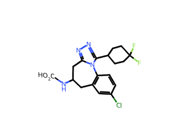 O=C(O)NC1Cc2cc(Cl)ccc2-n2c(nnc2C2CCC(F)(F)CC2)C1